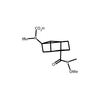 CON(C)C(=O)C12C3C4C1C1C2C3C41N(C(=O)O)C(C)(C)C